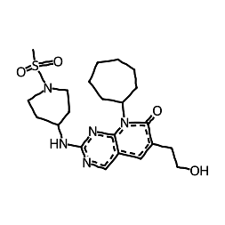 CS(=O)(=O)N1CCC(Nc2ncc3cc(CCO)c(=O)n(C4CCCCCC4)c3n2)CC1